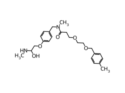 CNC(O)COc1ccc(CN(C)C(=O)CCOCCOCc2ccc(C)cc2)cc1